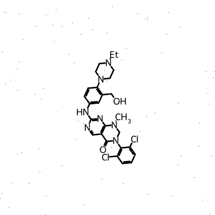 CCN1CCN(c2ccc(Nc3ncc4c(n3)N(C)CN(c3c(Cl)cccc3Cl)C4=O)cc2CO)CC1